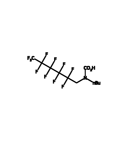 CCCCN(CC(F)(F)C(F)(F)C(F)(F)C(F)(F)C(F)(F)F)C(=O)O